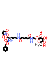 C[C@@H]1O[C@@H](OCCNC(=O)CCCCC(=O)NCCCC[C@H](NC(=O)OCc2ccccc2)C(=O)ON2C(=O)CCC2=O)[C@@H](O)[C@H](O)[C@@H]1O